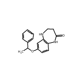 CC(Oc1ccc2c(c1)NCCC(=O)N2)c1ccccc1